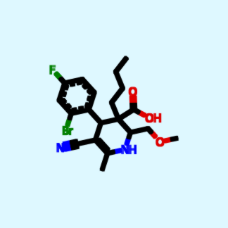 CCCCC1(C(=O)O)C(COC)NC(C)=C(C#N)C1c1ccc(F)cc1Br